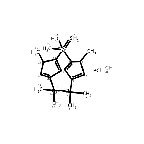 CC1C=C(C(C)(C)C)C=[C]1[Zr]([CH3])([CH3])(=[SiH2])[C]1=CC(C(C)(C)C)=CC1C.Cl.Cl